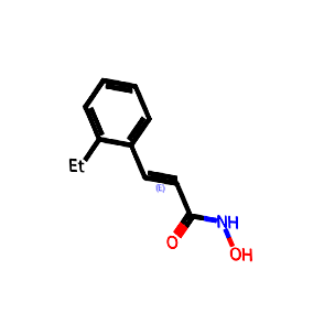 CCc1ccccc1/C=C/C(=O)NO